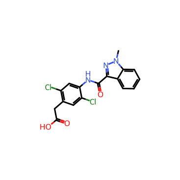 Cn1nc(C(=O)Nc2cc(Cl)c(CC(=O)O)cc2Cl)c2ccccc21